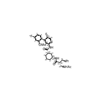 COc1cc(F)ccc1-c1cc(NC(=O)[C@H]2CCC[C@@H](NC(=O)[C@@H](CNC(C)=O)CC(C)C)C2)ncc1F